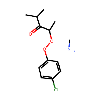 CC(C)C(=O)C(C)OOc1ccc(Cl)cc1.CN